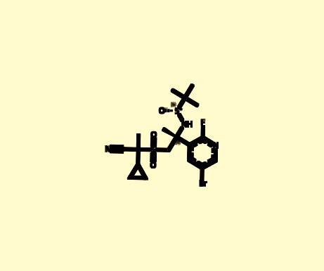 CC(C)(C)[S@@+]([O-])N[C@@](C)(CS(=O)(=O)C(C)(C#N)C1CC1)c1cc(Br)cnc1F